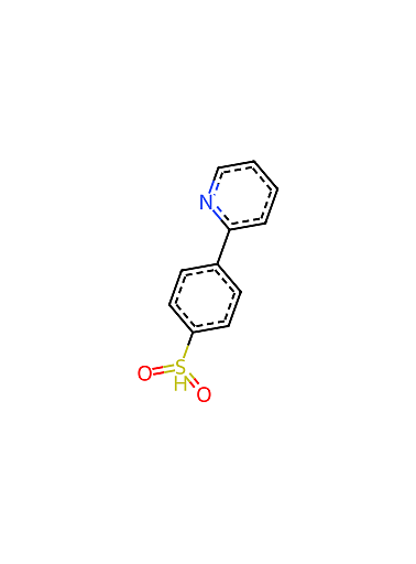 O=[SH](=O)c1ccc(-c2ccccn2)cc1